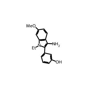 CCn1c(-c2cccc(O)c2)c(N)c2ccc(OC)cc21